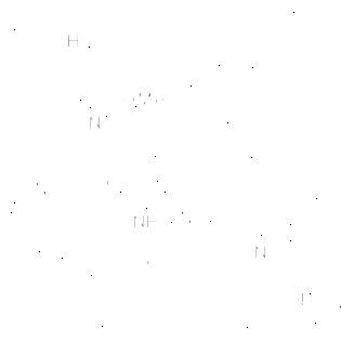 COc1nc(-c2ccnc(-c3cccc(NC(=O)c4ccc(CN5CC(O)C5)cn4)c3C)c2Cl)ccc1CO